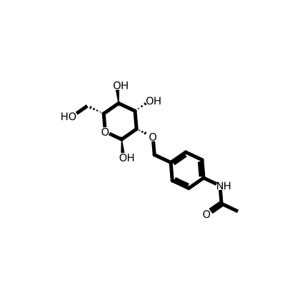 CC(=O)Nc1ccc(CO[C@H]2[C@@H](O)[C@H](O)[C@@H](CO)O[C@@H]2O)cc1